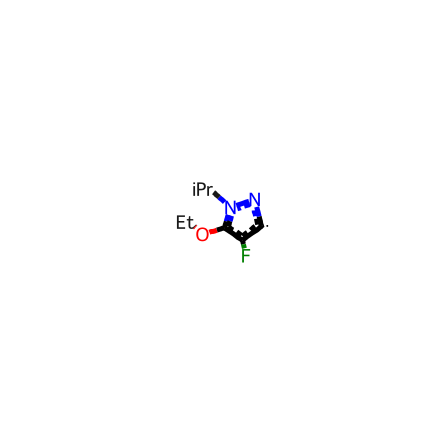 CCOc1c(F)[c]nn1C(C)C